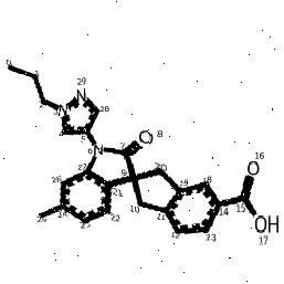 CCCn1cc(N2C(=O)C3(Cc4ccc(C(=O)O)cc4C3)c3ccc(C)cc32)cn1